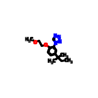 CCC(C)(C)c1ccc(OCCOC)c(-n2cnnn2)c1